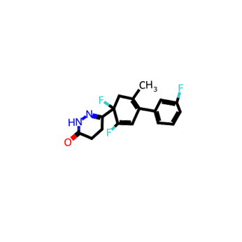 CC1=C(c2cccc(F)c2)C=C(F)C(F)(C2=NNC(=O)CC2)C1